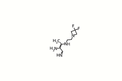 C/C(NCCN1CC(F)(F)C1)=C(\N)C=N